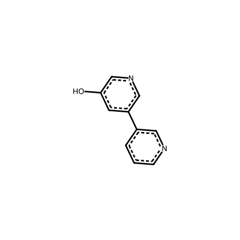 Oc1cncc(-c2cccnc2)c1